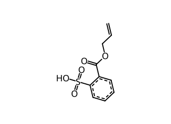 C=CCOC(=O)c1ccccc1S(=O)(=O)O